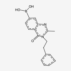 Cc1nc2cc(B(O)O)ccc2c(=O)n1CCc1ccccc1